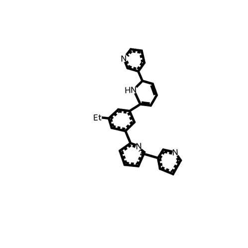 CCc1cc(C2=CC=CC(c3cccnc3)N2)cc(-c2cccc(-c3cccnc3)n2)c1